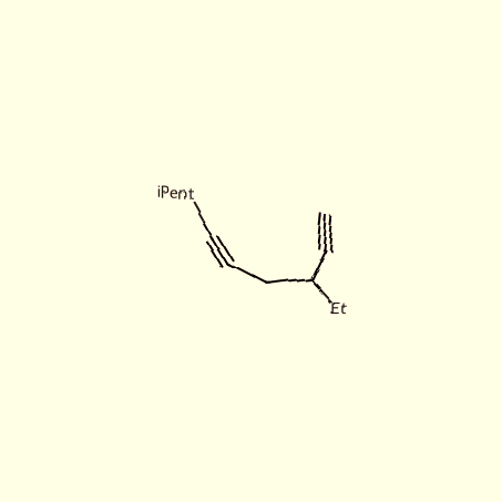 [C]#CC(CC)CC#CC(C)CCC